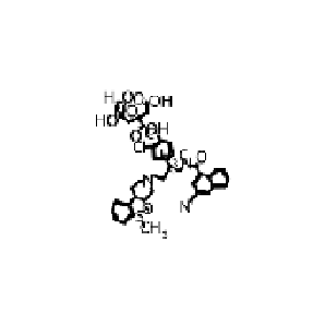 CN(C[C@@H](CCN1CCC(c2ccccc2[S+](C)[O-])CC1)c1ccc(Cl)c(Cl)c1)C(=O)c1cc(C#N)cc2ccccc12.O.O=C(O)CC(O)(CC(=O)O)C(=O)O